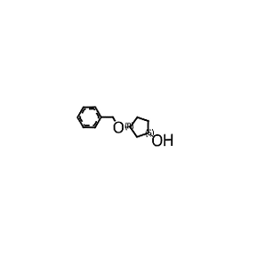 O[C@H]1CC[C@@H](OCc2ccccc2)C1